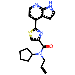 C=CCN(C(=O)c1csc(-c2ccnc3[nH]ccc23)n1)C1CCCC1